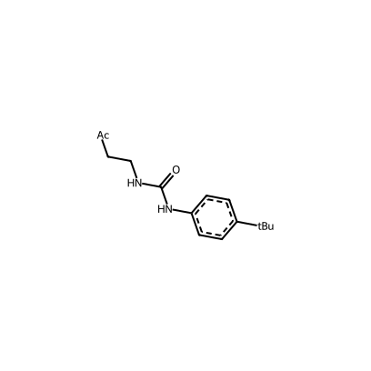 CC(=O)CCNC(=O)Nc1ccc(C(C)(C)C)cc1